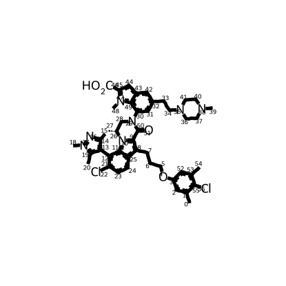 Cc1cc(OCCCc2c3n(c4c(-c5c(C)nn(C)c5C)c(Cl)ccc24)[C@H](C)CN(c2cc(CCN4CCN(C)CC4)cc4cc(C(=O)O)n(C)c24)C3=O)cc(C)c1Cl